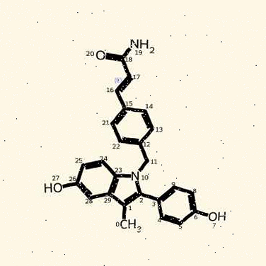 Cc1c(-c2ccc(O)cc2)n(Cc2ccc(/C=C/C(N)=O)cc2)c2ccc(O)cc12